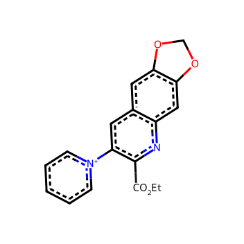 CCOC(=O)c1nc2cc3c(cc2cc1-[n+]1ccccc1)OCO3